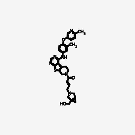 Cc1ccc(Oc2ccc(Nc3ncnc4sc5c(c34)CCN(C(=O)/C=C/CN3CC4CC4(CO)C3)C5)cc2C)cn1